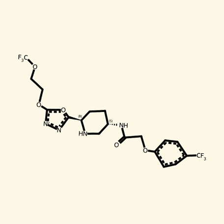 O=C(COc1ccc(C(F)(F)F)cc1)N[C@H]1CC[C@H](c2nnc(OCCOC(F)(F)F)o2)NC1